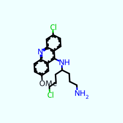 COc1ccc2nc3cc(Cl)ccc3c(NC(CCCN)CCCCl)c2c1